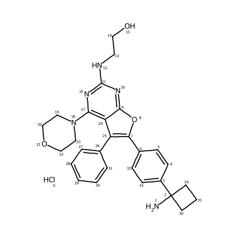 Cl.NC1(c2ccc(-c3oc4nc(NCCO)nc(N5CCOCC5)c4c3-c3ccccc3)cc2)CCC1